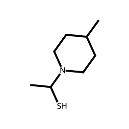 CC1CCN(C(C)S)CC1